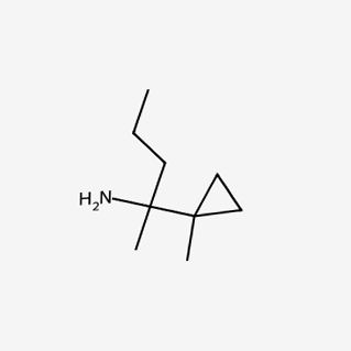 CCCC(C)(N)C1(C)CC1